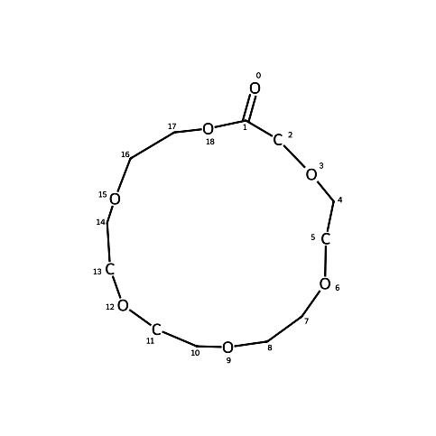 O=C1COCCOCCOCCOCCOCCO1